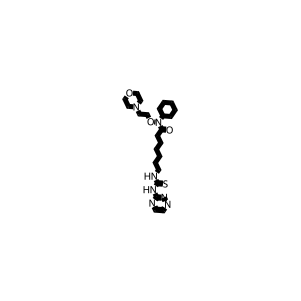 O=C(CCCCCCNC(=S)Nc1nccnn1)N(OCCN1CCOCC1)C1CCCCC1